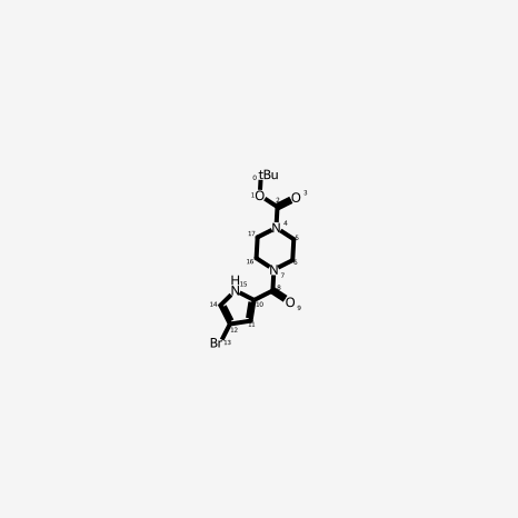 CC(C)(C)OC(=O)N1CCN(C(=O)c2cc(Br)c[nH]2)CC1